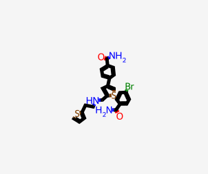 NC(=O)c1ccc(-c2csc(CNCCc3cccs3)c2)cc1.NC(=O)c1ccc(Br)cc1